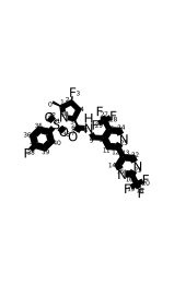 C[C@H]1[C@H](F)C[C@@H](C(=O)NCc2cc(-c3cnc(C(F)(F)F)nc3)ncc2C(F)(F)F)N1S(=O)(=O)c1ccc(F)cc1